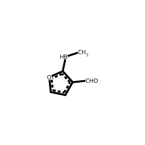 CBc1occc1C=O